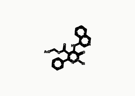 CCn1nc(-c2ccccc2)c(C(=O)OCOC(C)=O)c(Nc2cncc3ccccc23)c1=O